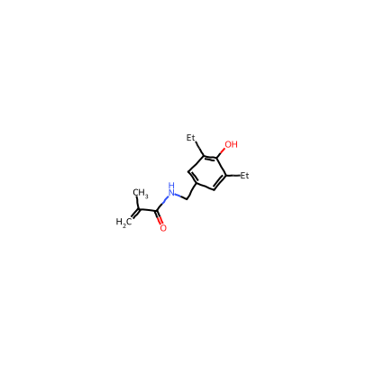 C=C(C)C(=O)NCc1cc(CC)c(O)c(CC)c1